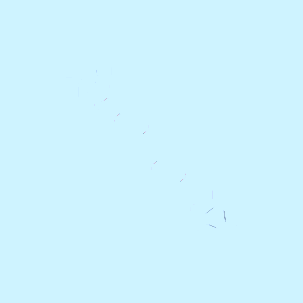 CC(C)(C)OC(=O)CC(=O)CCC(=O)CCC(=O)CCC(=O)CCOc1c(I)cc(I)cc1I